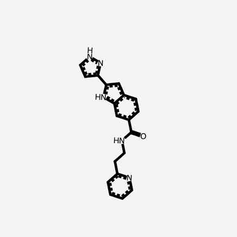 O=C(NCCc1ccccn1)c1ccc2cc(-c3cc[nH]n3)[nH]c2c1